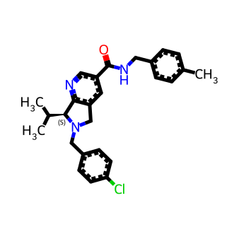 Cc1ccc(CNC(=O)c2cnc3c(c2)CN(Cc2ccc(Cl)cc2)[C@H]3C(C)C)cc1